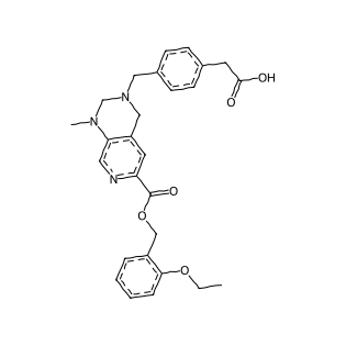 CCOc1ccccc1COC(=O)c1cc2c(cn1)N(C)CN(Cc1ccc(CC(=O)O)cc1)C2